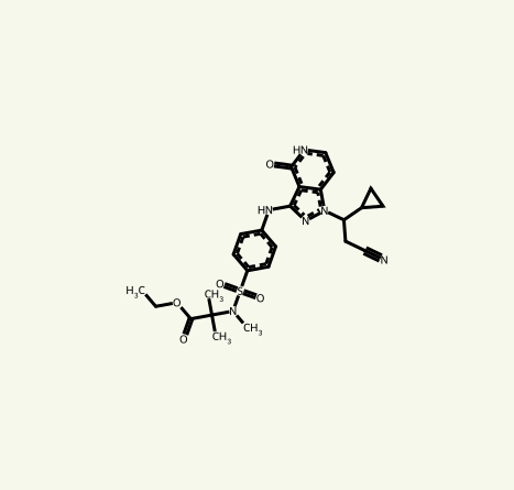 CCOC(=O)C(C)(C)N(C)S(=O)(=O)c1ccc(Nc2nn(C(CC#N)C3CC3)c3cc[nH]c(=O)c23)cc1